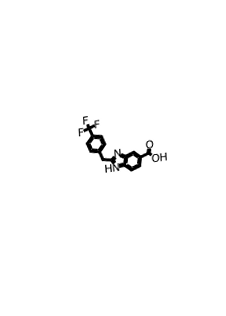 O=C(O)c1ccc2[nH]c(Cc3ccc(C(F)(F)F)cc3)nc2c1